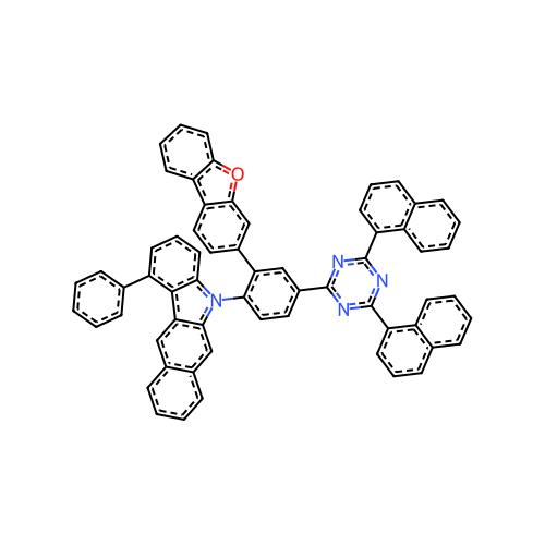 c1ccc(-c2cccc3c2c2cc4ccccc4cc2n3-c2ccc(-c3nc(-c4cccc5ccccc45)nc(-c4cccc5ccccc45)n3)cc2-c2ccc3c(c2)oc2ccccc23)cc1